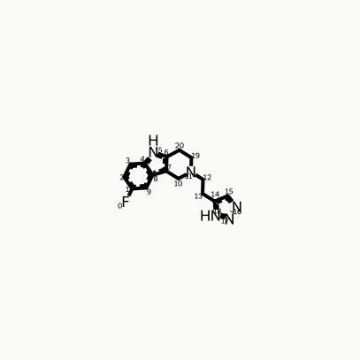 Fc1ccc2[nH]c3c(c2c1)CN(CCc1cnn[nH]1)CC3